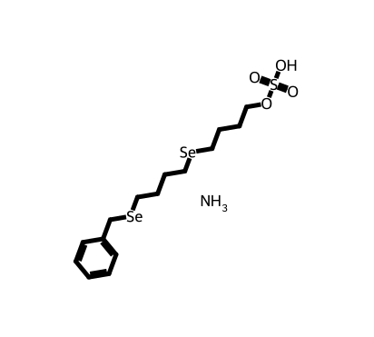 N.O=S(=O)(O)OCCCC[Se]CCCC[Se]Cc1ccccc1